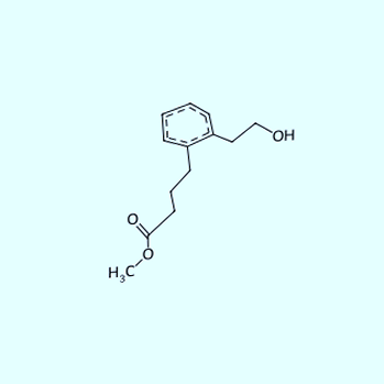 COC(=O)CCCc1ccccc1CCO